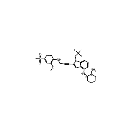 COc1cc(S(C)(=O)=O)ccc1NCC#Cc1cc2c(N[C@@H]3CCCC[C@@H]3N)cccc2n1CC(F)(F)F